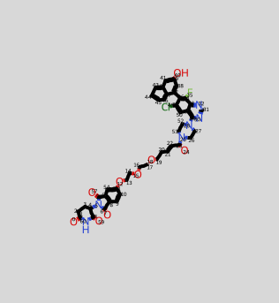 O=C1CCC(N2C(=O)c3ccc(OCCOCCOCCC=CC(=O)N4CCN(c5ncnc6c(F)c(-c7cc(O)cc8ccccc78)c(Cl)cc56)CC4)cc3C2=O)C(=O)N1